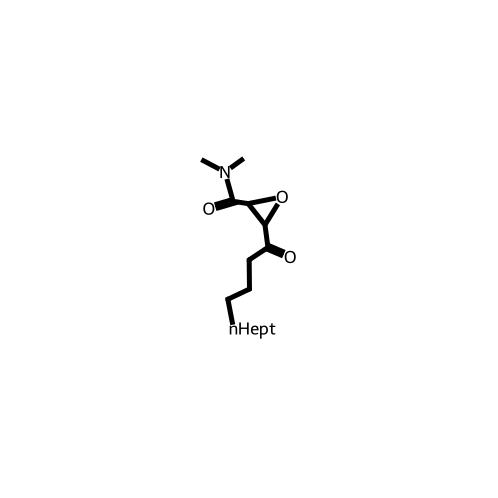 CCCCCCCCCCC(=O)C1OC1C(=O)N(C)C